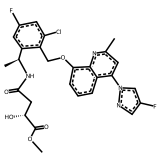 COC(=O)[C@H](O)CC(=O)N[C@@H](C)c1cc(F)cc(Cl)c1COc1cccc2c(-n3cc(F)cn3)cc(C)nc12